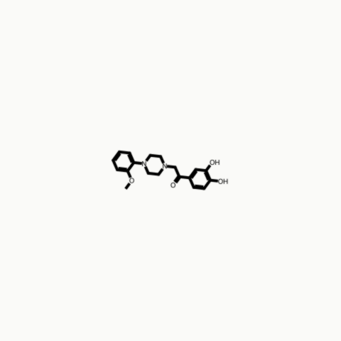 COc1ccccc1N1CCN(CC(=O)c2ccc(O)c(O)c2)CC1